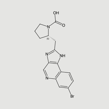 O=C(O)N1CCC[C@H]1Cc1nc2cnc3cc(Br)ccc3c2[nH]1